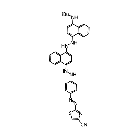 CCC(C)Nc1ccc(NNc2ccc(NNc3ccc(/N=N/c4nc(C#N)cs4)cc3)c3ccccc23)c2ccccc12